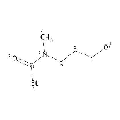 CCC(=O)N(C)CCC[O]